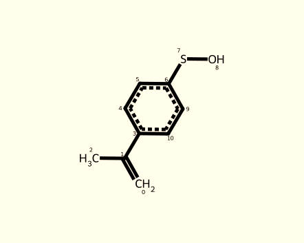 C=C(C)c1ccc(SO)cc1